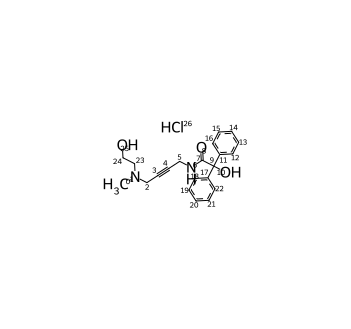 CN(CC#CCNC(=O)C(O)(c1ccccc1)c1ccccc1)CCO.Cl